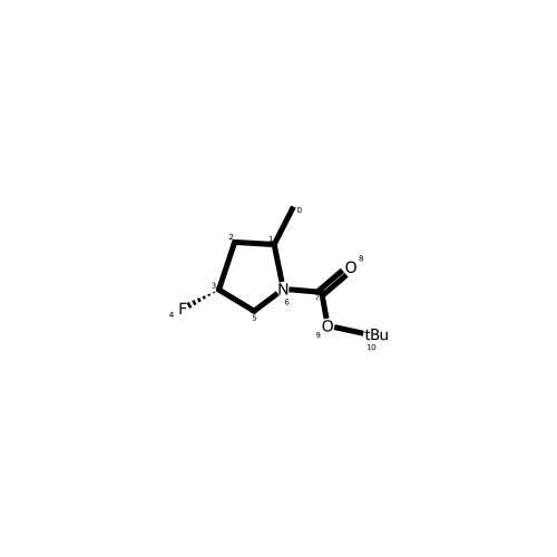 CC1C[C@@H](F)CN1C(=O)OC(C)(C)C